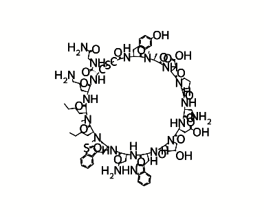 CCCC[C@H]1C(=O)N(C)[C@@H](CCCC)C(=O)N[C@@H](CCCN)C(=O)N[C@H](C(=O)NCC(N)=O)CSCC(=O)N[C@@H](Cc2ccc(O)cc2)C(=O)N(C)[C@@H](C)C(=O)N[C@@H](CC(=O)O)C(=O)N2CCC[C@H]2C(=O)N[C@@H](CN)C(=O)N[C@@H](CC(=O)O)C(=O)N2C[C@H](O)C[C@H]2C(=O)N[C@@H](Cc2c[nH]c3ccccc23)C(=O)N[C@@H](CCN)C(=O)N[C@@H](Cc2csc3ccccc23)C(=O)N1C